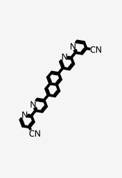 N#Cc1ccnc(-c2ccc(-c3ccc4cc(-c5ccc(-c6cc(C#N)ccn6)nc5)ccc4c3)cn2)c1